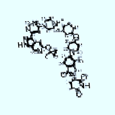 CC1(Oc2cc3c(-c4cc(N5CCN(C[C@H]6CC[C@H](OC7CCN(c8ccc9c(c8F)CN(C8CCC(=O)NC8=O)C9=O)CC7)CC6)CC5)ncn4)n[nH]c3cn2)CC1